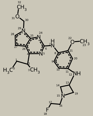 CCC(C)c1nc(Nc2ccc(NC3CN(CCF)C3)cc2OC)nc2c1ccn2COC